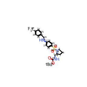 CC(C)(C)OC(=O)NC[C@H]1CCCN1S(=O)(=O)c1ccc(NCc2ccc(C(F)(F)F)cc2)cc1